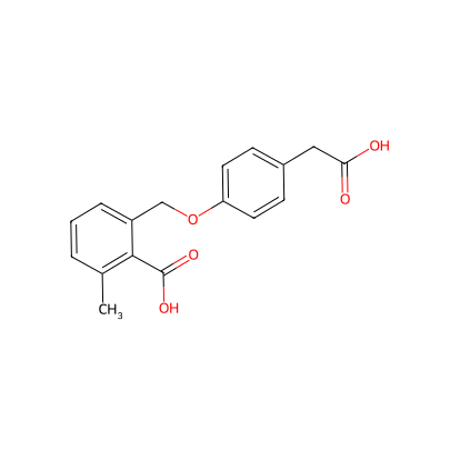 Cc1cccc(COc2ccc(CC(=O)O)cc2)c1C(=O)O